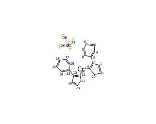 C1=CC(c2ccccc2)=[C]([Cr+][C]2=C(c3ccccc3)C=CC2)C1.F[B-](F)(F)F